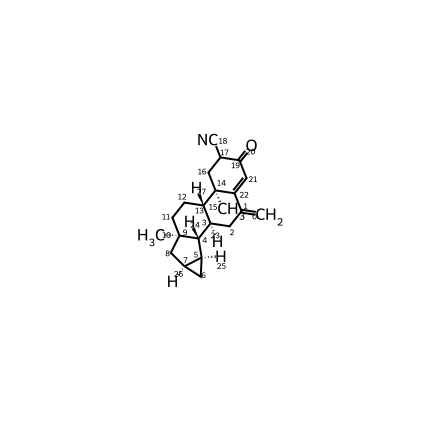 C=C1C[C@H]2[C@@H]3[C@H]4C[C@H]4C[C@@]3(C)CC[C@@H]2[C@@]2(C)CC(C#N)C(=O)C=C12